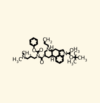 C=CCN1C[C@H](C(=O)N(CCCN(C)C)C(=O)Oc2ccccc2)C[C@@H]2c3cccc4c3c(cn4C(=O)OC(C)(C)C)C[C@H]21